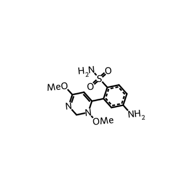 COC1=NCN(OC)C(c2cc(N)ccc2S(N)(=O)=O)=C1